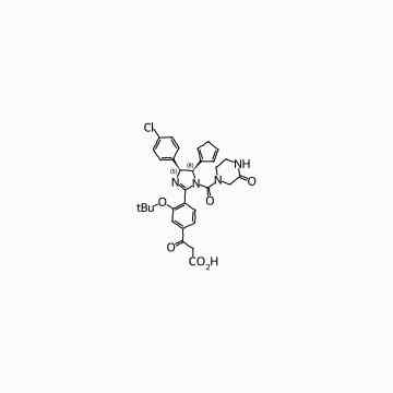 CC(C)(C)Oc1cc(C(=O)CC(=O)O)ccc1C1=N[C@@H](c2ccc(Cl)cc2)[C@@H](C2=CCC=C2)N1C(=O)N1CCNC(=O)C1